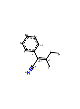 CC/C(C)=C(/C#N)c1ccccc1